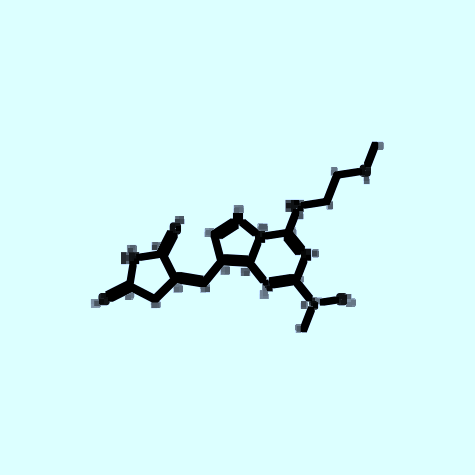 COCCNc1nc([S+](C)[O-])nc2c(C=C3CC(=O)NC3=O)cnn12